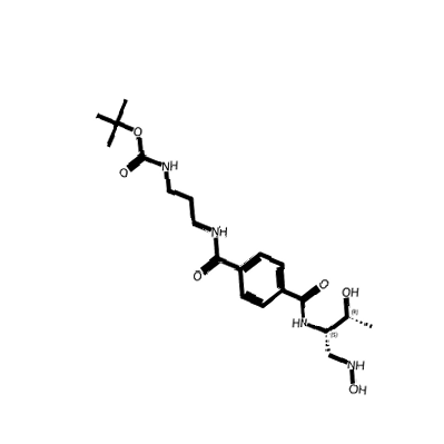 C[C@@H](O)[C@H](CNO)NC(=O)c1ccc(C(=O)NCCCNC(=O)OC(C)(C)C)cc1